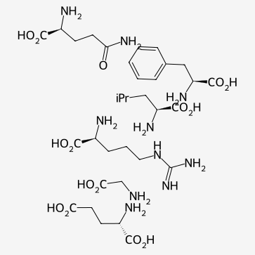 CC(C)C[C@H](N)C(=O)O.N=C(N)NCCC[C@H](N)C(=O)O.NC(=O)CC[C@H](N)C(=O)O.NCC(=O)O.N[C@@H](CCC(=O)O)C(=O)O.N[C@@H](Cc1ccccc1)C(=O)O